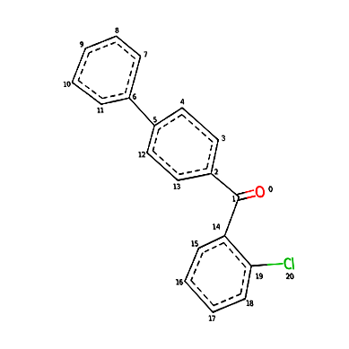 O=C(c1ccc(-c2ccccc2)cc1)c1ccccc1Cl